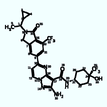 CC(C1CC1)N1Cc2cc(-c3ccn4nc(N)c(C(=O)N[C@H]5CC[C@](O)(C(F)(F)F)CC5)c4n3)cc(C(F)(F)F)c2C1=O